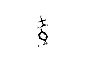 CNc1ccc(NC(=O)C(F)(F)F)cc1